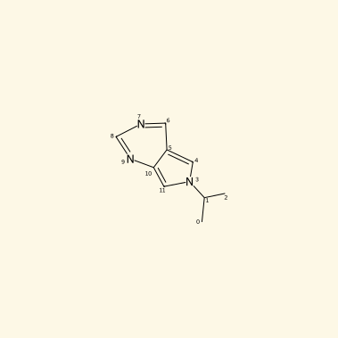 CC(C)n1cc2cncnc2c1